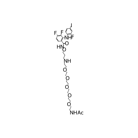 CC(=O)NCCOCCOCCOCCOCCOCCNCCCONC(=O)c1ccc(F)c(F)c1Nc1ccc(I)cc1F